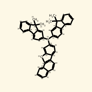 CC1(C)c2ccccc2-c2ccc(N(c3ccc4c(c3)C(C)(C)c3ccccc3-4)c3ccc4c(c3)oc3c5ccccc5ccc43)cc21